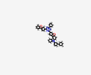 C1=CC2C(c3ccccc3N2c2cccc(-c3ccccc3)c2)c2c1oc1cc(-c3nc(-c4ccccc4)nc(-c4ccc5c(c4)oc4ccccc45)n3)ccc21